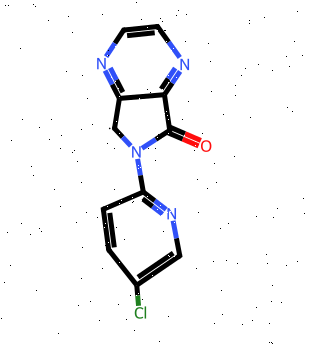 O=C1c2nccnc2[CH]N1c1ccc(Cl)cn1